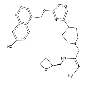 C/N=C(/CN1CCC(c2cccc(OCc3ccnc4cc(C#N)ccc34)n2)CC1)NC[C@@H]1CCO1